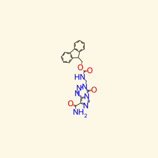 NC(=O)c1ncn2c(=O)n(CNC(=O)OCC3c4ccccc4-c4ccccc43)nnc12